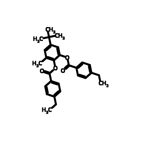 CCc1ccc(C(=O)Oc2cc(C(C)(C)C)cc(C)c2OC(=O)c2ccc(CC)cc2)cc1